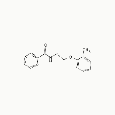 Cc1ccccc1OCCNC(=O)c1ccccc1